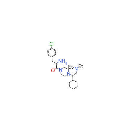 CCN(CC)CC(C1CCCCC1)N1CCN(C(=O)C(N)Cc2ccc(Cl)cc2)CC1